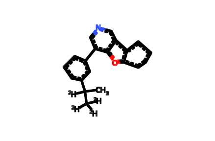 [2H]C([2H])([2H])C([2H])(C)c1cccc(-c2cncc3c2oc2ccccc23)c1